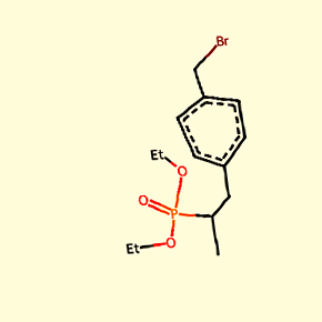 CCOP(=O)(OCC)C(C)Cc1ccc(CBr)cc1